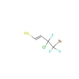 FC(F)(Br)C(F)(Cl)C=CS